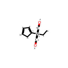 C[CH2][W](=[C]=O)(=[C]=O)[C]1=CC=CC1